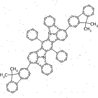 CC1(C)c2ccccc2-c2ccc(-c3ccc4c5c(-c6ccccc6)c6c(c(-c7ccccc7)c5n5c7ccccc7c3c45)c3ccc(-c4ccc5c(c4)C(C)(C)c4ccccc4-5)c4c5ccccc5n6c34)cc21